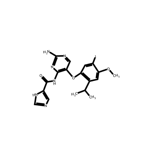 COc1cc(C(C)C)c(Oc2cnc(N)nc2NC(=O)c2cnc[nH]2)cc1I